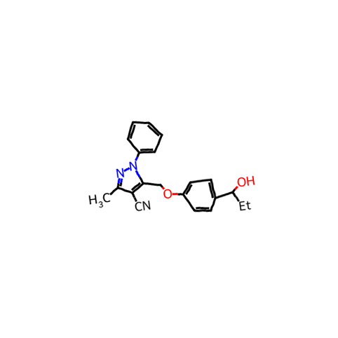 CCC(O)c1ccc(OCc2c(C#N)c(C)nn2-c2ccccc2)cc1